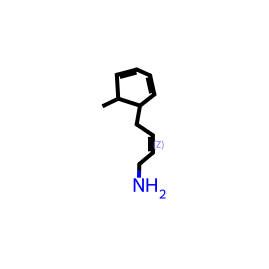 CC1C=CC=CC1C/C=C\CN